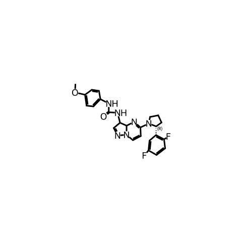 COc1ccc(NC(=O)NC2C=NN3C=CC(N4CCC[C@@H]4c4cc(F)ccc4F)=NC23)cc1